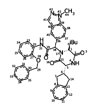 CC[C@H](C)[C@@H]1C(=O)N[C@H](C2Cc3ccccc3C2)C(=O)N1C(C(=O)Nc1ccccc1OCc1ccccc1)c1ccc2c(cnn2C)c1